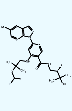 CC(C)(CNc1cc(-n2ncc3cc(C#N)cnc32)ncc1C(=O)NC[C@@H](F)C(C)(C)O)OC(F)F